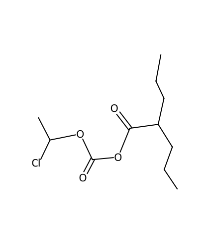 CCCC(CCC)C(=O)OC(=O)OC(C)Cl